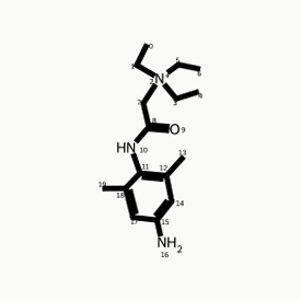 CC[N+](CC)(CC)CC(=O)Nc1c(C)cc(N)cc1C